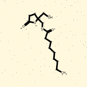 CCCCCCCCC(=O)OCC1(CO)CCC(=O)O1